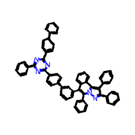 c1ccc(-c2ccc(-c3nc(-c4ccccc4)nc(-c4ccc(-c5cccc(-c6c(-c7ccccc7)n7nc(-c8ccccc8)c(-c8ccccc8)c7c7ccccc67)c5)cc4)n3)cc2)cc1